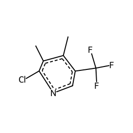 Cc1c(C(F)(F)F)cnc(Cl)c1C